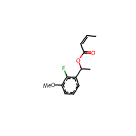 C/C=C\C(=O)OC(C)c1cccc(OC)c1F